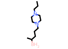 BC(C)CCCN1CCN(CCC)CC1